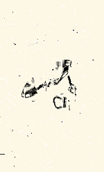 C[CH2][Al+][P](CC)CC.[Cl-]